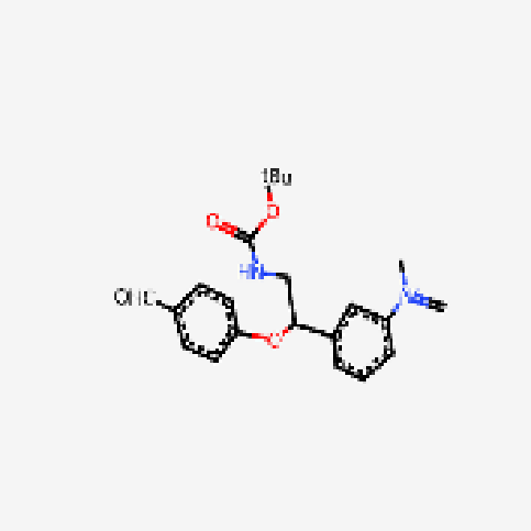 C=[N+](C)c1cccc(C(CNC(=O)OC(C)(C)C)Oc2ccc(C=O)cc2)c1